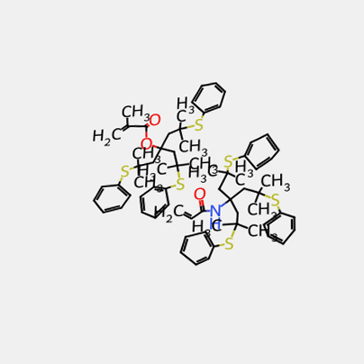 C=C(C)C(=O)OC(CC(C)(C)Sc1ccccc1)(CC(C)(C)Sc1ccccc1)CC(C)(C)Sc1ccccc1.C=CC(=O)NC(CC(C)(C)Sc1ccccc1)(CC(C)(C)Sc1ccccc1)CC(C)(C)Sc1ccccc1